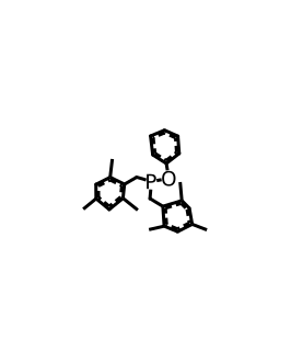 Cc1cc(C)c(CP(Cc2c(C)cc(C)cc2C)Oc2ccccc2)c(C)c1